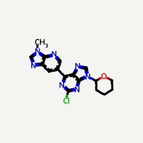 Cn1cnc2cc(-c3nc(Cl)nc4c3ncn4C3CCCCO3)cnc21